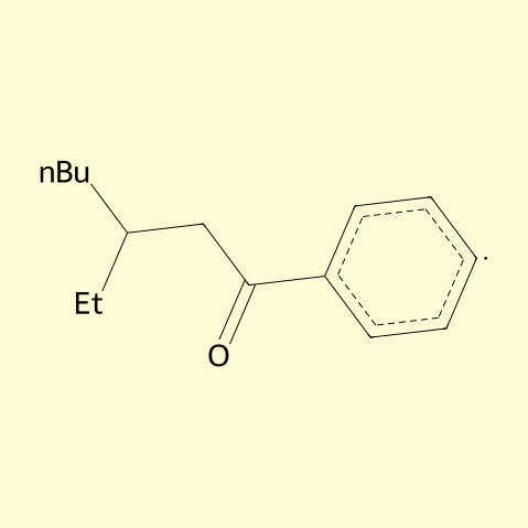 CCCCC(CC)CC(=O)c1cc[c]cc1